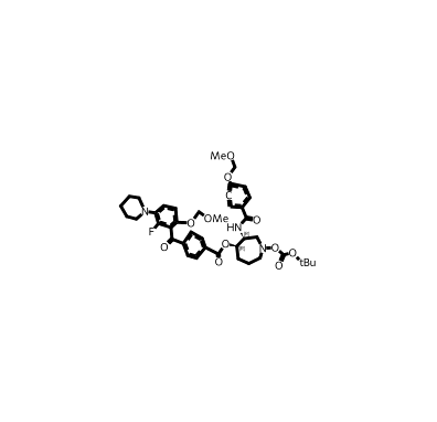 COCOc1ccc(C(=O)N[C@@H]2CN(OC(=O)OC(C)(C)C)CCC[C@H]2OC(=O)c2ccc(C(=O)c3c(OCOC)ccc(N4CCCCC4)c3F)cc2)cc1